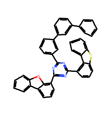 c1ccc(-c2cccc(-c3cccc(-c4nc(-c5cccc6c5oc5ccccc56)nc(-c5cccc6sc7ccccc7c56)n4)c3)c2)cc1